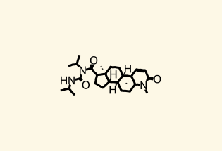 CC(C)NC(=O)N(C(=O)C1CC[C@H]2[C@@H]3CCC4N(C)C(=O)C=C[C@]4(C)[C@@H]3CC[C@]12C)C(C)C